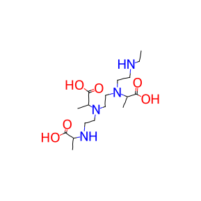 CCNCCN(CCN(CCNC(C)C(=O)O)C(C)C(=O)O)C(C)C(=O)O